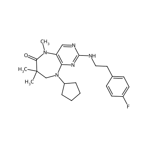 CN1C(=O)C(C)(C)CN(C2CCCC2)c2nc(NCCc3ccc(F)cc3)ncc21